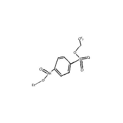 CCO[PH](=O)c1ccc(S(=O)(=O)OCC(F)(F)F)cc1